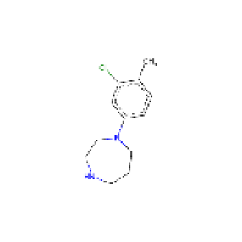 Cc1ccc(N2CCCNCC2)cc1Cl